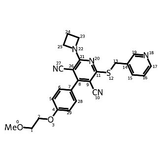 COCCOc1ccc(-c2c(C#N)c(SCc3cccnc3)nc(N3CCC3)c2C#N)cc1